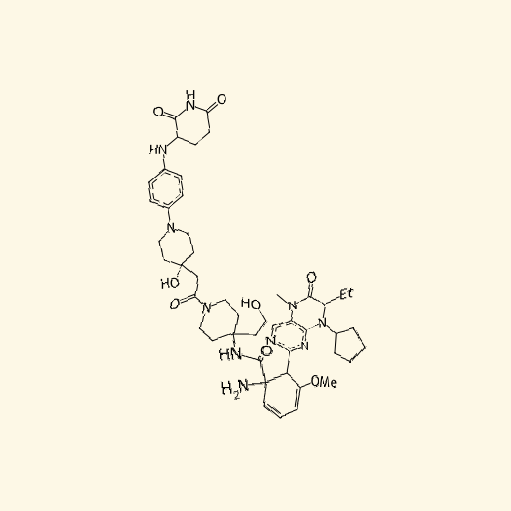 CCC1C(=O)N(C)c2cnc(C3C(OC)=CC=CC3(N)C(=O)NC3(CCO)CCN(C(=O)CC4(O)CCN(c5ccc(NC6CCC(=O)NC6=O)cc5)CC4)CC3)nc2N1C1CCCC1